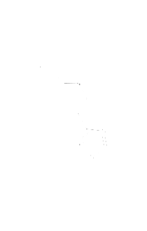 COSC(=O)CCc1c[nH]cn1